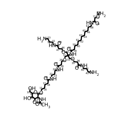 CC(=O)NC1C(O)[C@@H](O)C(CO)O[C@H]1OCCCCC(=O)NCCCNC(=O)CCOCC(COCCC(=O)NCCCN)(COCCC(=O)NCCCN)NC(=O)CCCCCCCCCCCNC(=O)CON